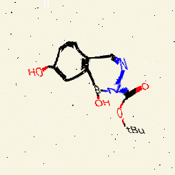 CC(C)(C)OC(=O)N1N=Cc2ccc(O)cc2B1O